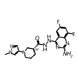 Cn1cc(N2CCC[C@H](C(=O)NNc3nc(N)nc4c(F)cc(F)cc34)C2)cn1